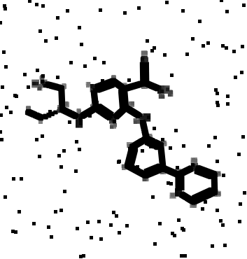 CC[C@H](CN)Nc1ncc(C(N)=O)c(Nc2cccc(-c3ncccn3)c2)n1